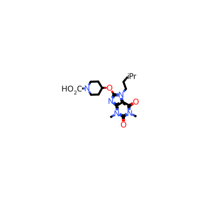 CC(C)CCn1c(OC2CCN(C(=O)O)CC2)nc2c1c(=O)n(C)c(=O)n2C